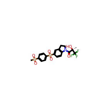 C[C@@](O)(C(=O)N1CCc2cc(S(=O)(=O)c3ccc(S(C)(=O)=O)cc3)ccc21)C(F)(F)F